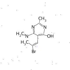 C=Nc1nc(C)nc(O)c1/C=C(\C)Br